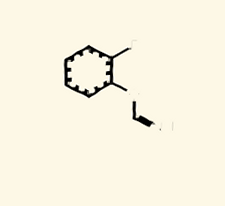 N=COc1ccccc1F